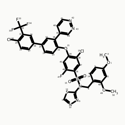 COc1ccc(CN(c2nncs2)S(=O)(=O)c2cc(Cl)c(Oc3ccc(-c4ccc(Cl)c(C(F)(F)F)c4)cc3-c3ccnnc3)cc2F)c(OC)c1